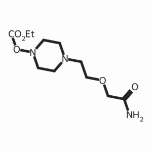 CCOC(=O)ON1CCN(CCOCC(N)=O)CC1